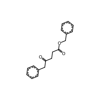 O=C(CCC(=O)OCc1ccccc1)Cc1ccccc1